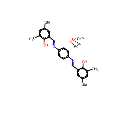 CC(=O)[O-].CC(=O)[O-].Cc1cc(C(C)(C)C)cc(C=Nc2ccc(N=Cc3cc(C(C)(C)C)cc(C)c3O)cc2)c1O.[Co+2]